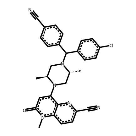 C[C@@H]1CN(c2cc(=O)n(C)c3ccc(C#N)nc23)[C@@H](C)CN1C(c1ccc(Cl)cc1)c1ccc(C#N)cc1